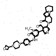 Cn1cc(-c2cncc(N3CCc4c(cc5n4CCCC5)C3=O)c2C=O)cc(Nc2ccc(N3CCN(C4COC4)CC3)cn2)c1=O